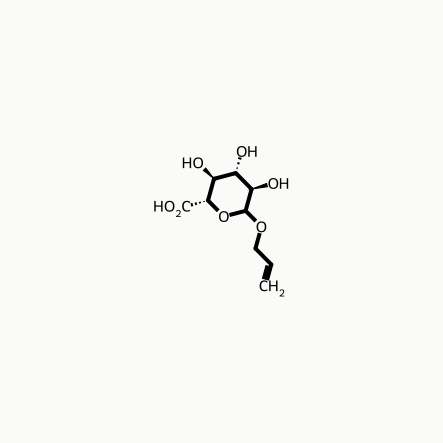 C=CCOC1O[C@H](C(=O)O)[C@@H](O)[C@H](O)[C@H]1O